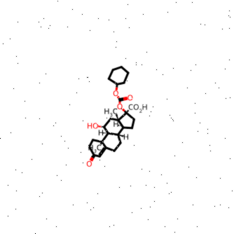 C[C@]12CCC(=O)C=C1CC[C@@H]1[C@@H]2[C@@H](O)C[C@@]2(C)[C@H]1CC[C@]2(OC(=O)OC1CCCCC1)C(=O)O